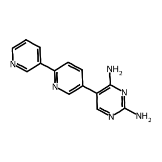 Nc1ncc(-c2ccc(-c3cccnc3)nc2)c(N)n1